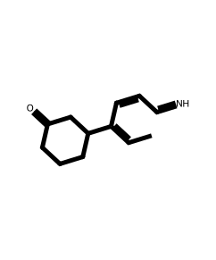 C/C=C(\C=C/C=N)C1CCCC(=O)C1